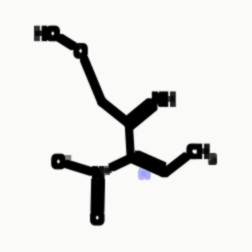 C/C=C(\C(=N)COO)[N+](=O)[O-]